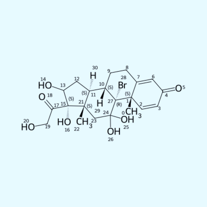 C[C@]12C=CC(=O)C=C1CC[C@H]1[C@@H]3CC(O)[C@](O)(C(=O)CO)[C@@]3(C)CC(O)(O)[C@@]12Br